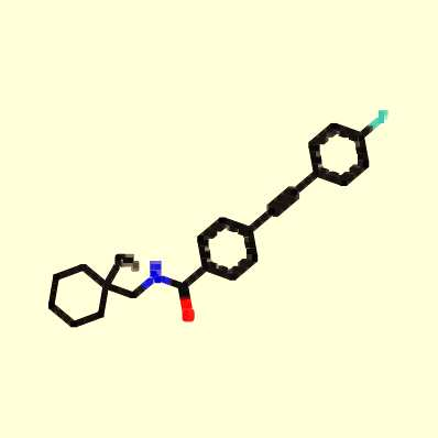 CC1(CNC(=O)c2ccc(C#Cc3ccc(F)cc3)cc2)CCCCC1